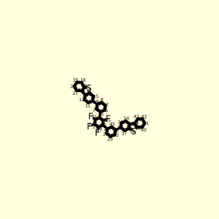 Fc1c(F)c(-c2cccc(-c3ccc4c(c3)sc3ccccc34)c2)c(F)c(-c2cccc(-c3ccc4c(c3)sc3ccccc34)c2)c1F